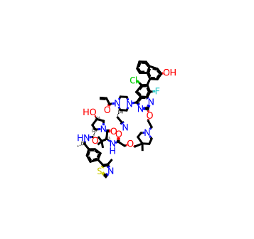 C=CC(=O)N1CCN(c2nc(OCCN3CCC(C)(COCC(=O)N[C@H](C(=O)N4C[C@H](O)C[C@H]4C(=O)N[C@@H](C)c4ccc(-c5scnc5C)cc4)C(C)(C)C)CC3)nc3c(F)c(-c4cc(O)cc5ccccc45)c(Cl)cc23)C[C@@H]1CC#N